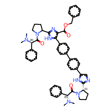 CN(C)[C@@H](C(=O)N1CCCC1c1nc(C(=O)OCc2ccccc2)c(-c2ccc(-c3ccc(-c4cnc([C@@H]5CCCN5C(=O)[C@@H](c5ccccc5)N(C)C)[nH]4)cc3)cc2)[nH]1)c1ccccc1